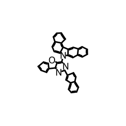 c1ccc2cc(-c3nc(-n4c5cc6ccccc6cc5c5c6ccccc6ccc54)c4oc5ccccc5c4n3)ccc2c1